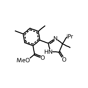 COC(=O)c1cc(C)cc(C)c1C1=NC(C)(C(C)C)C(=O)N1